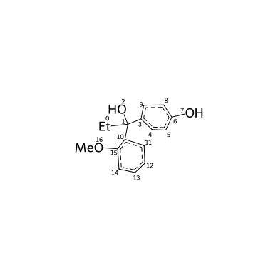 CCC(O)(c1ccc(O)cc1)c1ccccc1OC